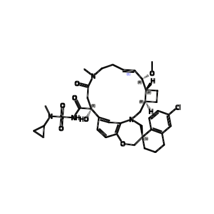 CO[C@H]1/C=C/CCN(C)C(=O)C[C@](O)(C(=O)NS(=O)(=O)N(C)C2CC2)c2ccc3c(c2)N(C[C@@H]2CC[C@H]21)C[C@@]1(CCCc2cc(Cl)ccc21)CO3